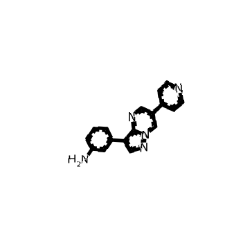 Nc1cccc(-c2cnn3cc(-c4ccncc4)cnc23)c1